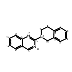 c1ccc2c(c1)CCN(c1ncc3ccccc3n1)C2